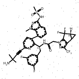 Cn1nc(NS(C)(=O)=O)c2cccc(-c3ccc(C#CC(C)(C)N)nc3[C@H](Cc3cc(F)cc(F)c3)NC(=O)Cn3nc(C(F)(F)F)c4c3C(F)(F)[C@@H]3CC43)c21